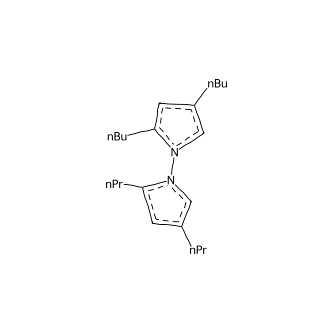 CCCCc1cc(CCCC)n(-n2cc(CCC)cc2CCC)c1